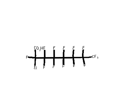 CCC(F)(C(=O)O)C(F)(F)C(F)(F)C(F)(F)C(F)(F)C(F)(F)C(F)(F)F